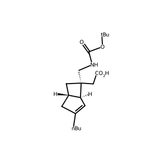 CCCCC1=C[C@H]2[C@H](C1)C[C@@]2(CNC(=O)OC(C)(C)C)CC(=O)O